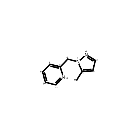 Cc1ccnn1Cc1ccccn1